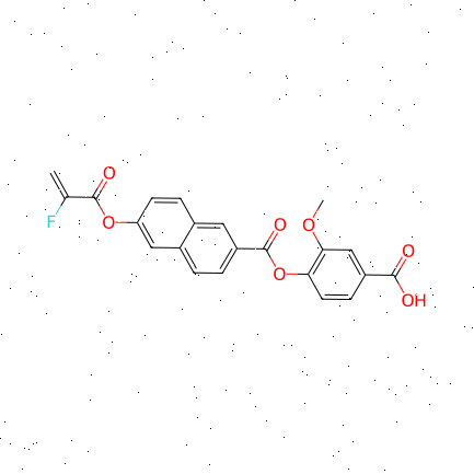 C=C(F)C(=O)Oc1ccc2cc(C(=O)Oc3ccc(C(=O)O)cc3OC)ccc2c1